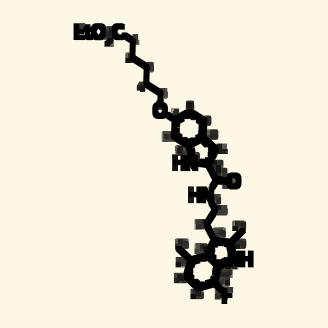 CCOC(=O)CCCCCOc1ccc2cc(C(=O)NCCc3c(C)[nH]c4c(F)ccc(C)c34)[nH]c2c1